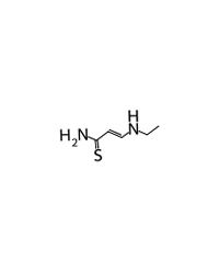 CCNC=CC(N)=S